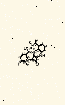 C=C(c1cccc(Nc2c(NC(CC)c3ccc(F)c(C)c3)c(=O)c2=O)c1C)N(C)C